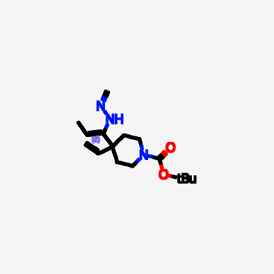 C=CC1(/C(=C/C)NN=C)CCN(C(=O)OC(C)(C)C)CC1